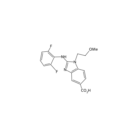 COCCn1c(Nc2c(F)cccc2F)nc2cc(C(=O)O)ccc21